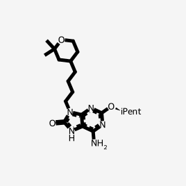 CCC[C@@H](C)Oc1nc(N)c2[nH]c(=O)n(CCCCC3CCOC(C)(C)C3)c2n1